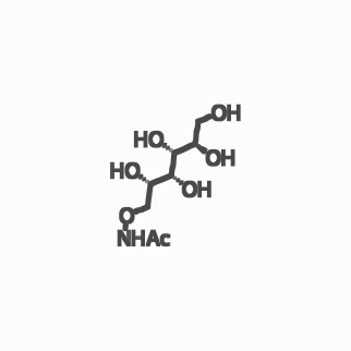 CC(=O)NOC[C@H](O)[C@@H](O)[C@H](O)[C@H](O)CO